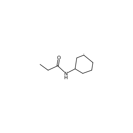 CCC(=O)NC1C[CH]CCC1